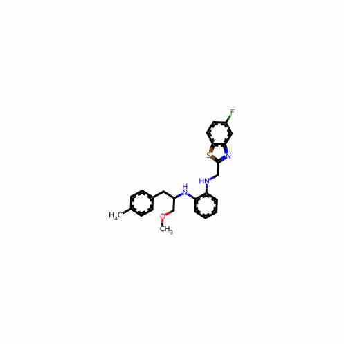 COCC(Cc1ccc(C)cc1)Nc1ccccc1NCc1nc2cc(F)ccc2s1